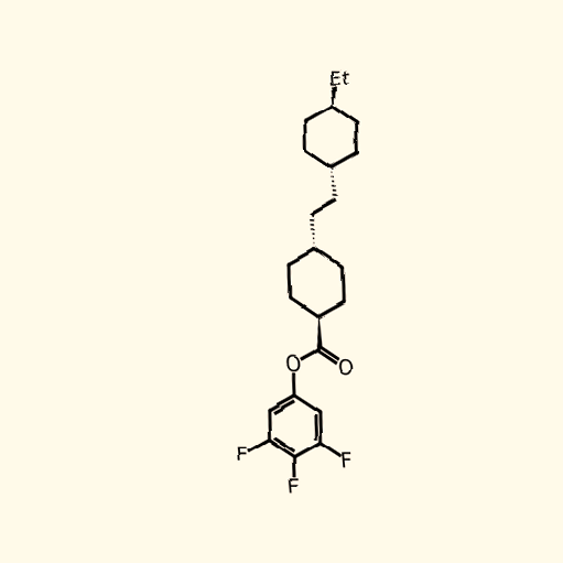 CC[C@H]1CC[C@H](CC[C@H]2CC[C@H](C(=O)Oc3cc(F)c(F)c(F)c3)CC2)CC1